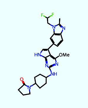 COc1nc(NC2CCC(N3CCCC3=O)CC2)nc2[nH]cc(-c3ccc4nc(C)n(CC(F)F)c4c3)c12